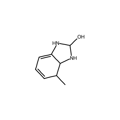 CC1C=CC=C2NC(O)NC21